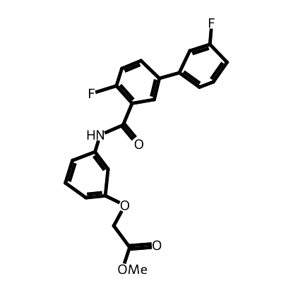 COC(=O)COc1cccc(NC(=O)c2cc(-c3cccc(F)c3)ccc2F)c1